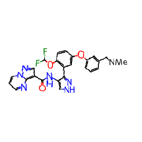 CNCc1cccc(Oc2ccc(OC(F)F)c(-c3n[nH]cc3NC(=O)c3cnn4cccnc34)c2)c1